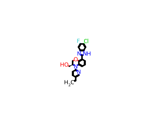 C=Cc1ccc(N2c3cccc(-c4nc5cc(F)c(Cl)cc5[nH]4)c3OC[C@@H]2CO)nc1